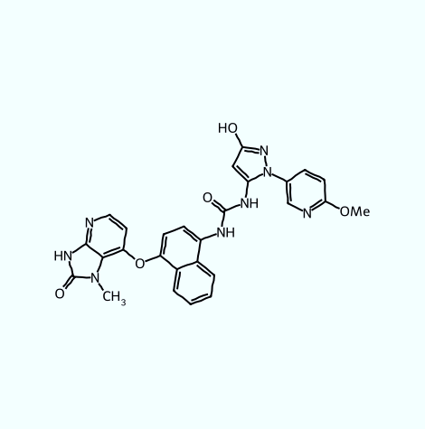 COc1ccc(-n2nc(O)cc2NC(=O)Nc2ccc(Oc3ccnc4[nH]c(=O)n(C)c34)c3ccccc23)cn1